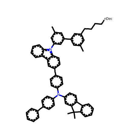 CCCCCCCCCCCCCCc1cc(C)cc(-c2cc(C)cc(-n3c4ccccc4c4cc(-c5ccc(N(c6ccc(-c7ccccc7)cc6)c6ccc7c(c6)C(C)(C)c6ccccc6-7)cc5)ccc43)c2)c1